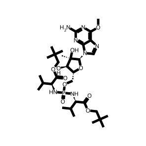 COc1nc(N)nc2c1ncn2[C@@H]1O[C@H](COP(=O)(N[C@H](C(=O)OCC(C)(C)C)C(C)C)N[C@H](C(=O)OCC(C)(C)C)C(C)C)[C@@H](O)[C@@]1(C)O